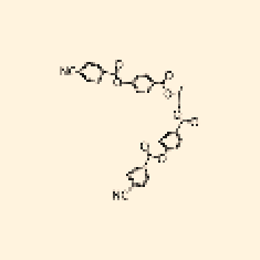 CC(COC(=O)c1ccc(OC(=O)c2ccc(C#N)cc2)cc1)OC(=O)c1ccc(OC(=O)c2ccc(C#N)cc2)cc1